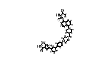 O=C1CCN(c2cncc3c(N4CCC(CN5CCN(c6ccc(-c7cc(-c8cc9c([nH]8)CCNC9=O)ccn7)cc6)CC5)CC4)cccc23)C(=O)N1